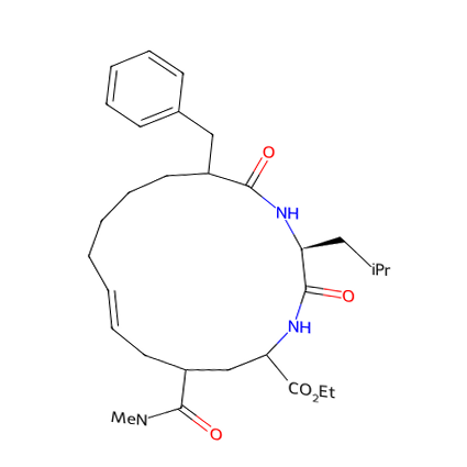 CCOC(=O)C1CC(C(=O)NC)C/C=C/CCCCC(Cc2ccccc2)C(=O)N[C@@H](CC(C)C)C(=O)N1